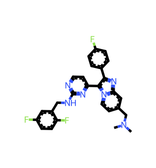 CN(C)Cc1ccn2c(-c3ccnc(NCc4cc(F)ccc4F)n3)c(-c3ccc(F)cc3)nc2c1